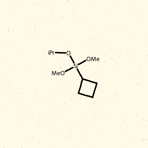 CO[Si](OC)(OC(C)C)C1CCC1